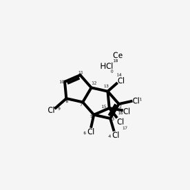 Cl.ClC1=C(Cl)C2(Cl)C3C(Cl)C=CC3C1(Cl)C2(Cl)Cl.[Ce]